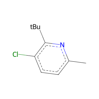 Cc1ccc(Cl)c(C(C)(C)C)n1